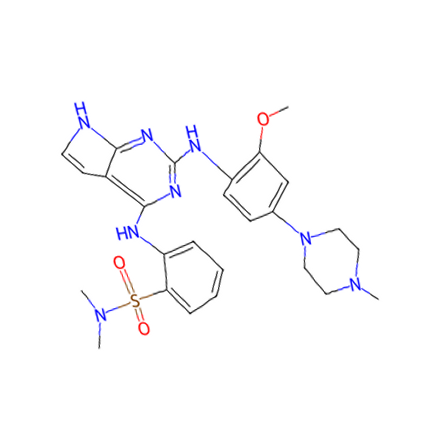 COc1cc(N2CCN(C)CC2)ccc1Nc1nc(Nc2ccccc2S(=O)(=O)N(C)C)c2cc[nH]c2n1